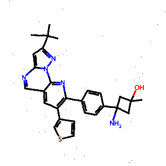 CC1(O)CC(N)(c2ccc(-c3nc4c(cnc5cc(C(C)(C)C)nn54)cc3-c3ccsc3)cc2)C1